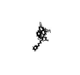 CC(C)CN(C(=O)CCCCCc1ccccc1)[C@@H]1CC(O)[C@@H]2CN(C)CC[C@@]2(c2cccc(O)c2)C1